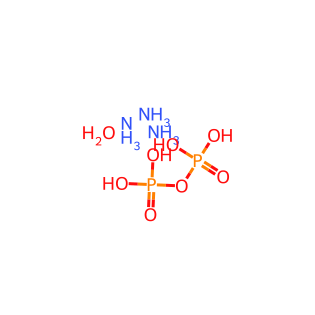 N.N.N.O.O=P(O)(O)OP(=O)(O)O